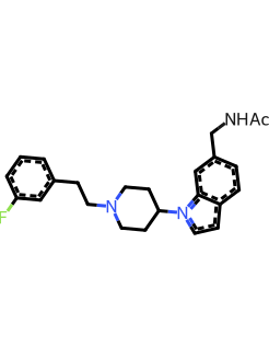 CC(=O)NCc1ccc2ccn(C3CCN(CCc4cccc(F)c4)CC3)c2c1